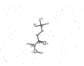 CON(C)C(=O)CCC(C)(C)C